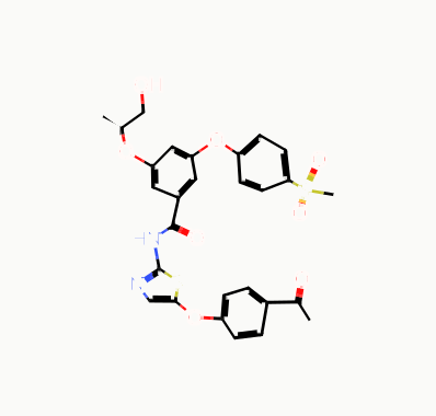 CC(=O)c1ccc(Oc2cnc(NC(=O)c3cc(Oc4ccc(S(C)(=O)=O)cc4)cc(O[C@@H](C)CO)c3)s2)cc1